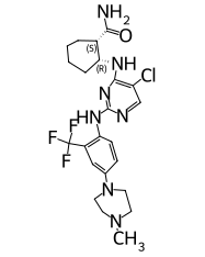 CN1CCN(c2ccc(Nc3ncc(Cl)c(N[C@@H]4CCCC[C@@H]4C(N)=O)n3)c(C(F)(F)F)c2)CC1